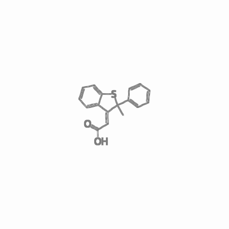 CC1(c2ccccc2)Sc2ccccc2/C1=C\C(=O)O